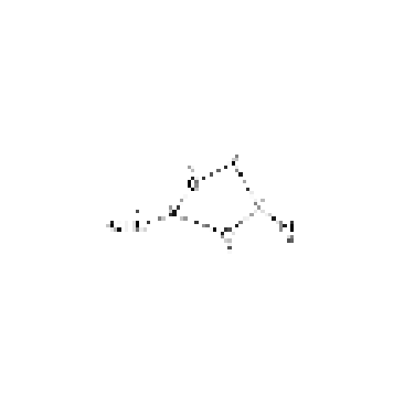 CCC1COC([C]=O)O1